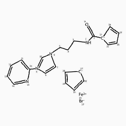 O=C(NCCCn1cc[n+](-c2ccccn2)c1)[c-]1cccc1.[Br-].[Fe+2].c1cc[cH-]c1